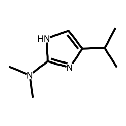 CC(C)c1c[nH]c(N(C)C)n1